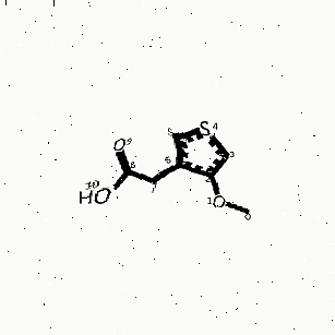 COc1cscc1CC(=O)O